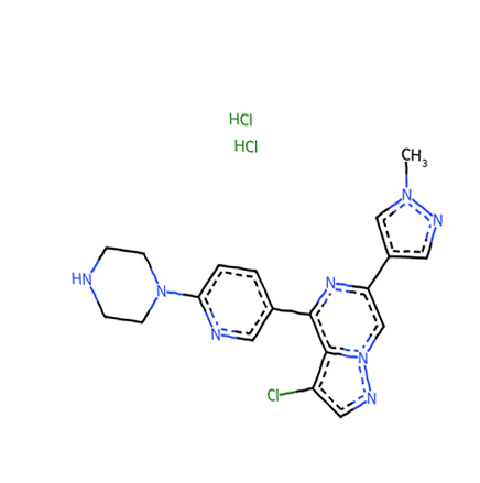 Cl.Cl.Cn1cc(-c2cn3ncc(Cl)c3c(-c3ccc(N4CCNCC4)nc3)n2)cn1